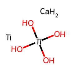 [CaH2].[OH][Ti]([OH])([OH])[OH].[Ti]